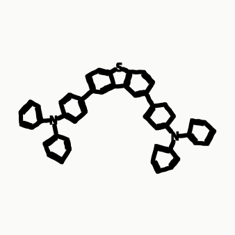 C1=C(c2ccc3sc4ccc(-c5ccc(N(c6ccccc6)c6ccccc6)cc5)cc4c3c2)CCC(N(c2ccccc2)c2ccccc2)=C1